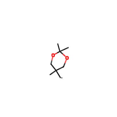 [CH2]C1(C)COC(C)(C)OC1